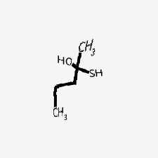 CCCC(C)(O)S